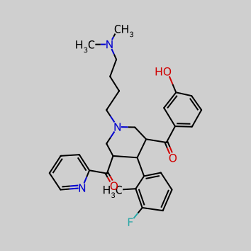 Cc1c(F)cccc1C1C(C(=O)c2cccc(O)c2)CN(CCCCN(C)C)CC1C(=O)c1ccccn1